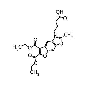 CCOC(=O)c1oc2cc3oc(C)[n+](CCCC(=O)O)c3cc2c1C(=O)OCC